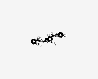 Cc1ccccc1[C@@H](O)COCc1cc2c(=O)c(C(=O)NCc3ccc(Cl)cc3)cn(C)c2s1